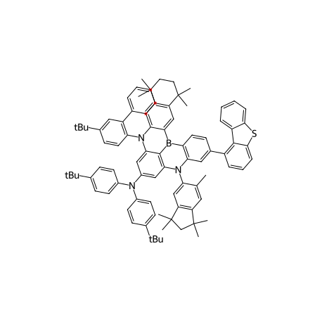 Cc1cc2c(cc1N1c3cc(-c4cccc5sc6ccccc6c45)ccc3B3c4cc5c(cc4N(c4ccc(C(C)(C)C)cc4-c4ccccc4)c4cc(N(c6ccc(C(C)(C)C)cc6)c6ccc(C(C)(C)C)cc6)cc1c43)C(C)(C)CCC5(C)C)C(C)(C)CC2(C)C